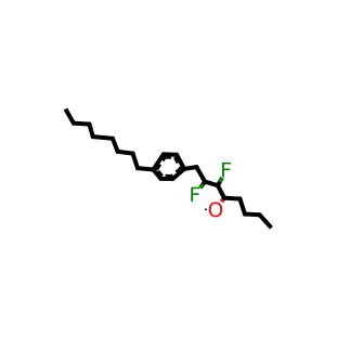 CCCCCCCCc1ccc(CC(F)C(F)C([O])CCCC)cc1